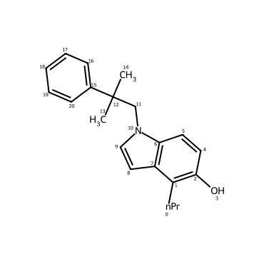 CCCc1c(O)ccc2c1ccn2CC(C)(C)c1ccccc1